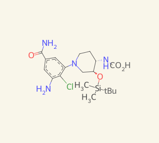 CC(C)(C)[Si](C)(C)O[C@H]1CN(c2cc(C(N)=O)cc(N)c2Cl)CC[C@@H]1NC(=O)O